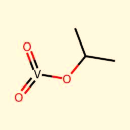 CC(C)[O][V](=[O])=[O]